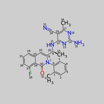 Cc1ccccc1-n1c([C@H](C)Nc2nc(N)nc(C)c2C#N)cc2cccc(F)c2c1=O